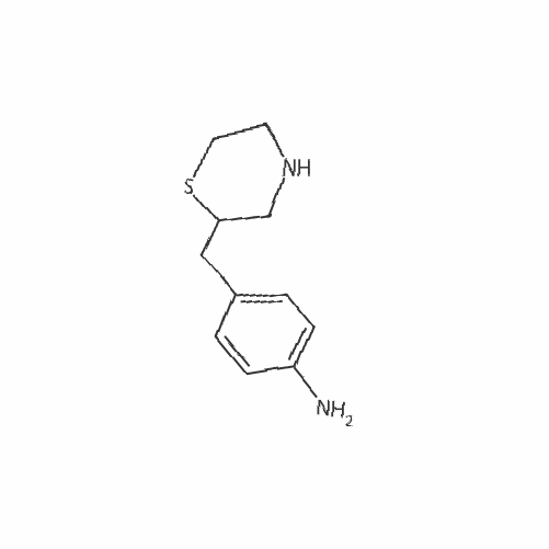 Nc1ccc(CC2CNCCS2)cc1